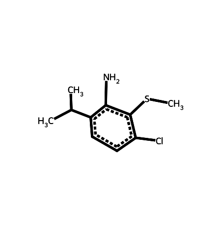 CSc1c(Cl)ccc(C(C)C)c1N